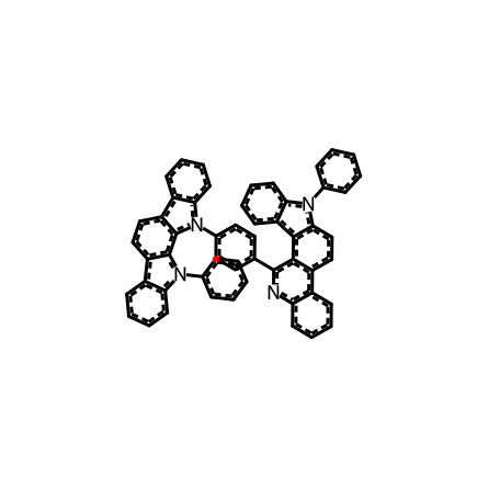 c1ccc(-n2c3ccccc3c3c4c(-c5ccc(-n6c7ccccc7c7ccc8c9ccccc9n(-c9ccccc9)c8c76)cc5)nc5ccccc5c4ccc32)cc1